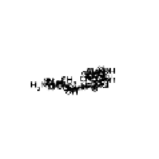 CC1C[C@H](n2cnc3c(N)ncnc32)O[C@@H]1COP(=O)(O)OCCCCCCNC(=O)c1cc(Cl)c(C(=O)O)c(-c2c3cc(Cl)c(=O)c(Cl)c-3oc3c(Cl)c(O)c(Cl)cc23)c1Cl